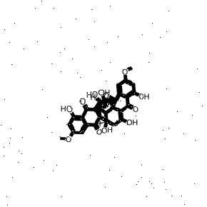 COc1cc(O)c2c(c1)C(=O)C13C(=C(O)C4[C@@H](O)C1C1[C@H](O)C3C(O)=C3C(=O)c5c(O)cc(OC)cc5C(=O)C341)C2=O